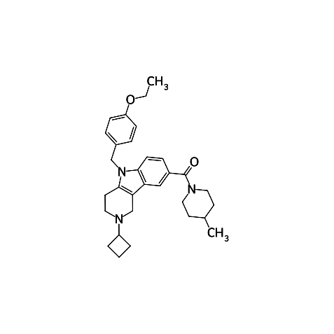 CCOc1ccc(Cn2c3c(c4cc(C(=O)N5CCC(C)CC5)ccc42)CN(C2CCC2)CC3)cc1